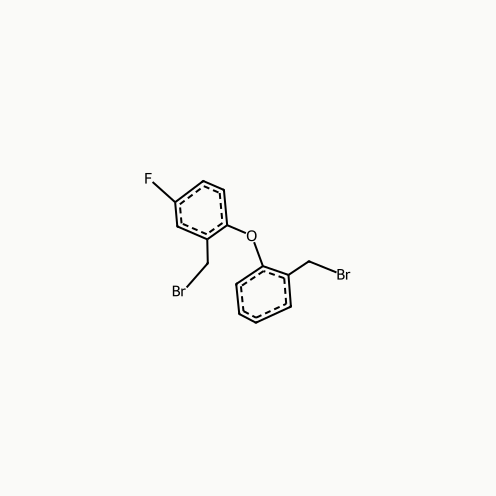 Fc1ccc(Oc2ccccc2CBr)c(CBr)c1